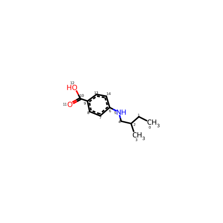 CCC(C)CNc1ccc(C(=O)O)cc1